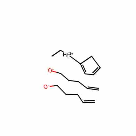 C=CCCC[O-].C=CCCC[O-].C[CH2][Hf+2][C]1=CC=CC1